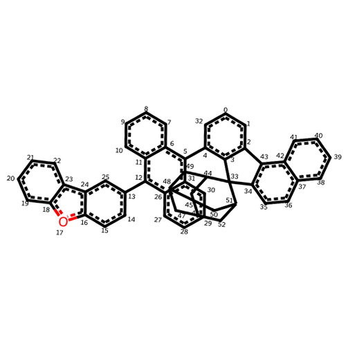 c1cc2c(c(-c3c4ccccc4c(-c4ccc5oc6ccccc6c5c4)c4ccccc34)c1)C1(c3ccc4ccccc4c3-2)C2CC3CC(C2)CC1C3